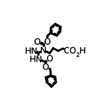 N=C(NC(=O)OCc1ccccc1)N(CCCCC(=O)O)C(=O)OCc1ccccc1